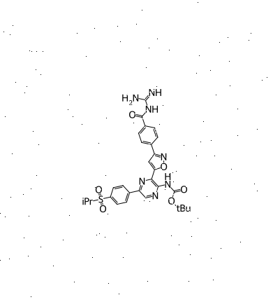 CC(C)S(=O)(=O)c1ccc(-c2cnc(NC(=O)OC(C)(C)C)c(-c3cc(-c4ccc(C(=O)NC(=N)N)cc4)no3)n2)cc1